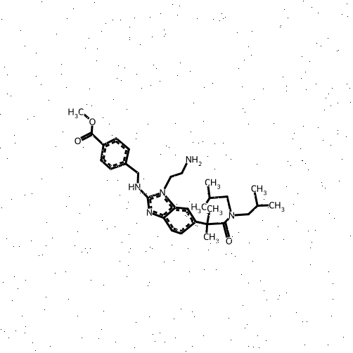 COC(=O)c1ccc(CNc2nc3ccc(C(C)(C)C(=O)N(CC(C)C)CC(C)C)cc3n2CCN)cc1